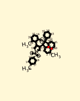 Cc1ccc(C2(c3cn(S(=O)(=O)c4ccc(C)cc4)cc3-c3c(C)cccc3C)OC2(c2ccccc2)c2ccccc2)cc1